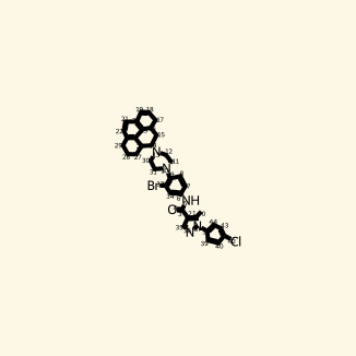 Cc1c(C(=O)Nc2ccc(N3CCN(C4CC5CC=Cc6ccc7c(c65)C4CCC7)CC3)c(Br)c2)cnn1-c1ccc(Cl)cc1